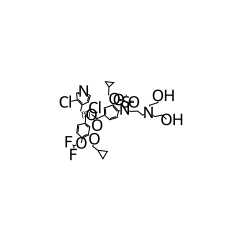 CS(=O)(=O)N(CCCN(CCO)CCO)c1ccc(C(=O)O[C@@H](Cc2c(Cl)cncc2Cl)c2ccc(OC(F)F)c(OCC3CC3)c2)cc1OCC1CC1